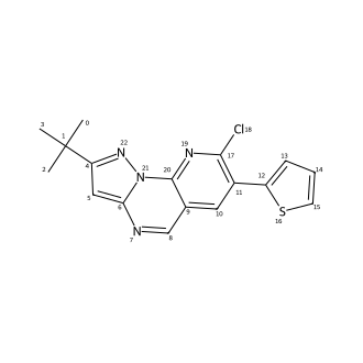 CC(C)(C)c1cc2ncc3cc(-c4cccs4)c(Cl)nc3n2n1